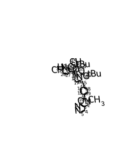 CN(Cc1ccnnc1)C(=O)c1ccc(C[C@@H]2CC[C@H]([C@H](O[Si](C)(C)C(C)(C)C)c3ccc(Cl)nc3)N2C(=O)OC(C)(C)C)cc1